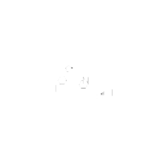 Cc1ccc(-c2ccc(F)cc2CCc2ccc(CCCC(=O)O)nc2)s1